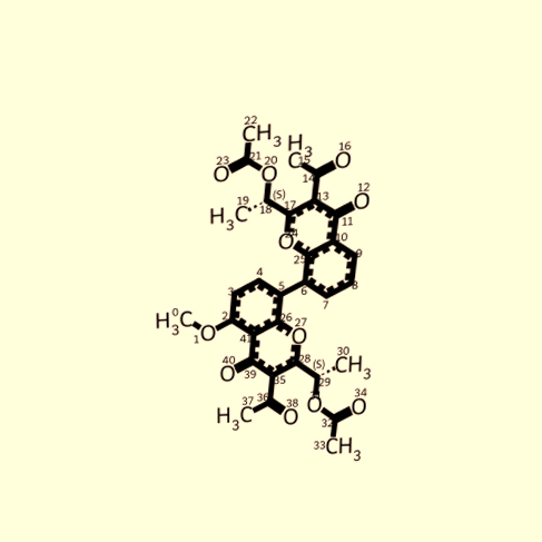 COc1ccc(-c2cccc3c(=O)c(C(C)=O)c([C@H](C)OC(C)=O)oc23)c2oc([C@H](C)OC(C)=O)c(C(C)=O)c(=O)c12